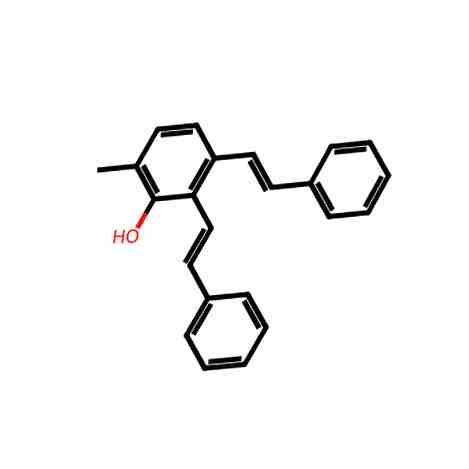 Cc1ccc(C=Cc2ccccc2)c(C=Cc2ccccc2)c1O